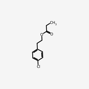 CCC(=O)OCCc1ccc(Cl)cc1